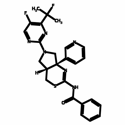 CC(C)(F)c1nc(N2C[C@H]3CSC(NC(=O)c4ccccc4)=N[C@@]3(c3cccnc3)C2)ncc1F